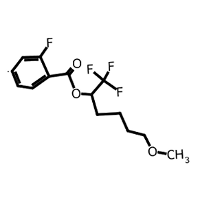 COCCCCC(OC(=O)c1cc[c]cc1F)C(F)(F)F